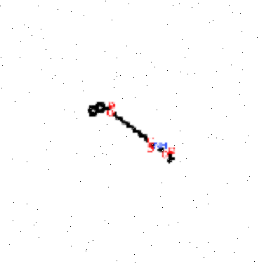 C=C(C)C(=O)OCCNC(=O)OCCCCCCCCCCCCOC(=O)c1ccc2ccccc2c1